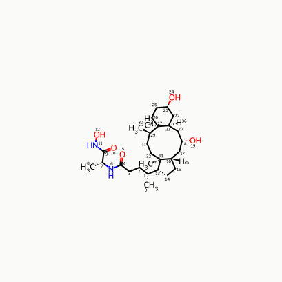 C[C@H](CCC(=O)N[C@H](C)C(=O)NO)[C@H]1CC[C@H]2C[C@@H](O)C[C@@H]3C[C@H](O)CC[C@]3(C)[C@H](C)CC[C@@]21C